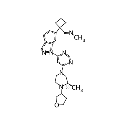 CN=CC1(c2ccc3cnn(-c4cc(N5CCN(C6CCOC6)[C@H](C)C5)ncn4)c3c2)CCC1